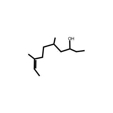 CC=C(C)CCC(C)CC(O)CC